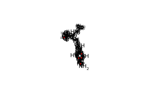 COC(=O)[C@H]1O[C@@H](Oc2ccc(COC(=O)N(C)CCOC(=O)Nc3ncnc4c3ncn4[C@@H]3O[C@@H]4CO[P@@](=O)(S)O[C@H]5[C@@H](F)[C@H](n6cnc7c(N)ncnc76)O[C@@H]5CO[P@@](=O)(S)O[C@H]4[C@H]3F)cc2NC(=O)CCNC(=O)OCC2c3ccccc3-c3ccccc32)[C@H](OC(C)=O)[C@@H](OC(C)=O)[C@@H]1OC(C)=O